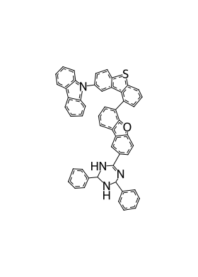 c1ccc(C2N=C(c3ccc4oc5c(-c6cccc7sc8ccc(-n9c%10ccccc%10c%10ccccc%109)cc8c67)cccc5c4c3)NC(c3ccccc3)N2)cc1